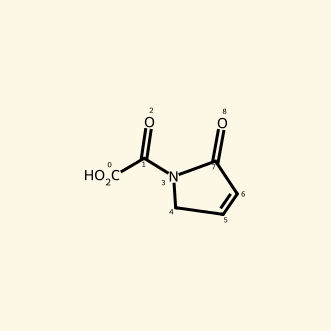 O=C(O)C(=O)N1CC=CC1=O